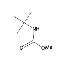 [CH2]OC(=O)NC(C)(C)C